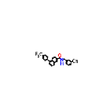 N#Cc1cccc(CNC(=O)c2ccc3c(-c4ccc(C(F)(F)F)cc4)cccc3c2)c1